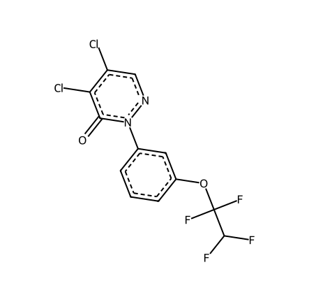 O=c1c(Cl)c(Cl)cnn1-c1cccc(OC(F)(F)C(F)F)c1